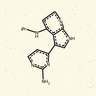 CC(C)Nc1ccnc2[nH]cc(-c3ccnc(N)n3)c12